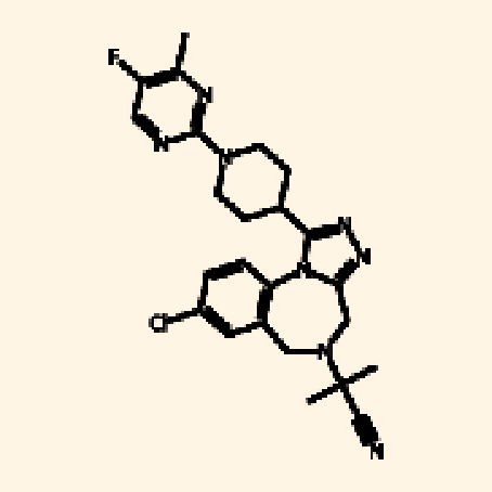 Cc1nc(N2CCC(c3nnc4n3-c3ccc(Cl)cc3CN(C(C)(C)C#N)C4)CC2)ncc1F